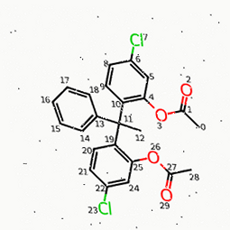 CC(=O)Oc1cc(Cl)ccc1C(C)(c1ccccc1)c1ccc(Cl)cc1OC(C)=O